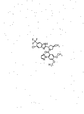 C=C1CC(c2nc3cc(Cl)c(C(F)(F)F)cc3[nH]2)N(C(=O)c2cc(OC)c(OC)cc2-n2nccn2)C1